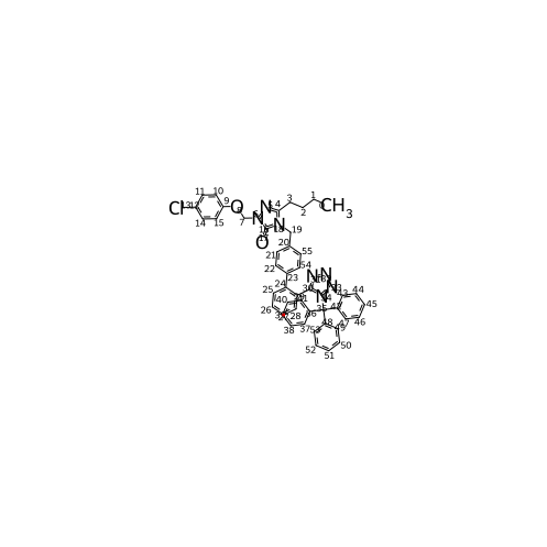 CCCCc1nn(COc2ccc(Cl)cc2)c(=O)n1Cc1ccc(-c2ccccc2-c2nnnn2C(c2ccccc2)(c2ccccc2)c2ccccc2)cc1